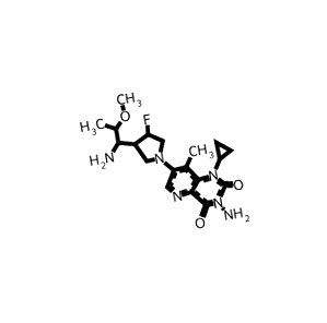 COC(C)C(N)C1CN(c2cnc3c(=O)n(N)c(=O)n(C4CC4)c3c2C)CC1F